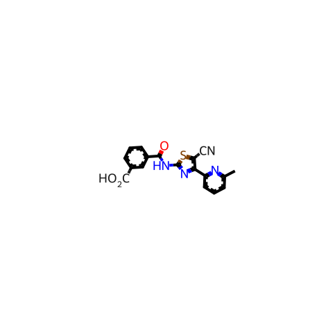 Cc1cccc(-c2nc(NC(=O)c3cccc(C(=O)O)c3)sc2C#N)n1